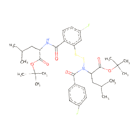 CC(C)CC(NC(=O)c1ccc(F)cc1SSN(C(=O)c1ccc(F)cc1)C(CC(C)C)C(=O)OC(C)(C)C)C(=O)OC(C)(C)C